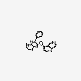 c1ccc(-c2nc3ncccc3cc2Oc2ccnc3ccncc23)cc1